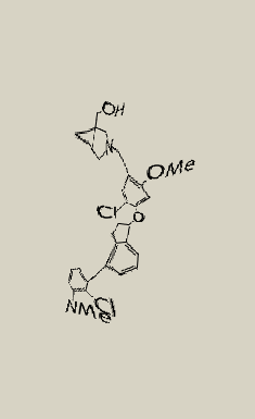 CNc1cccc(-c2cccc3c2CCC3Oc2cc(OC)c(CN3CC4CC4(CO)C3)cc2Cl)c1Cl